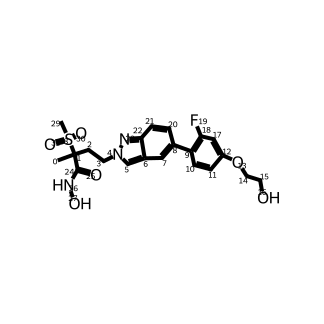 CC(CCn1cc2cc(-c3ccc(OCCO)cc3F)ccc2n1)(C(=O)NO)S(C)(=O)=O